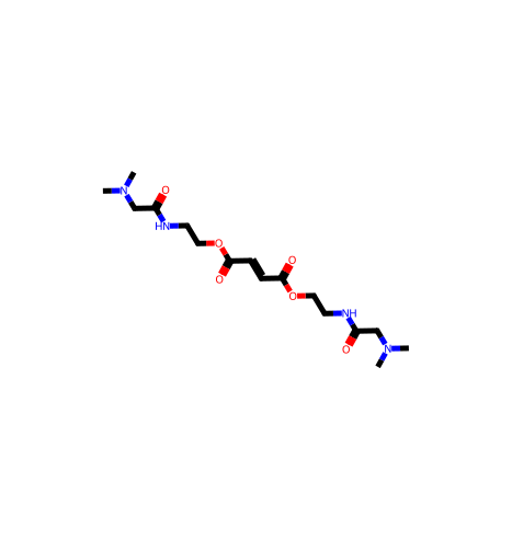 CN(C)CC(=O)NCCOC(=O)/C=C/C(=O)OCCNC(=O)CN(C)C